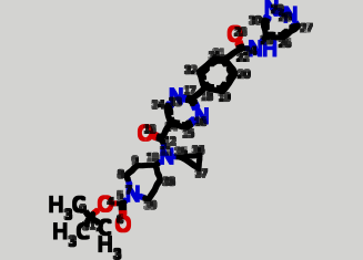 CC(C)(C)OC(=O)N1CCC(N(C(=O)c2cnc(-c3ccc(C(=O)Nc4ccnnc4)cc3)nc2)C2CC2)CC1